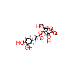 O=C(/C=C/c1ccc(O)c(O)c1)OC1C[C@]2(O)CC(OC2=O)[C@H]1O